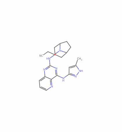 Cc1cc(Nc2nc(NC3CC4CCC(C3)N4CCC#N)nc3cccnc23)n[nH]1